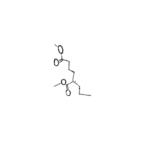 CCC[C](CCCC(=O)OC)C(=O)OC